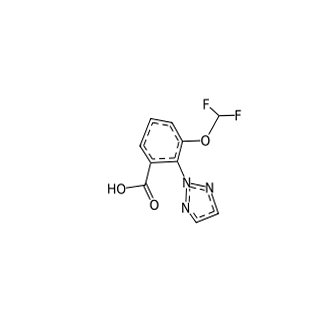 O=C(O)c1cccc(OC(F)F)c1-n1nccn1